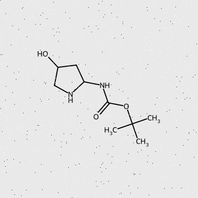 CC(C)(C)OC(=O)NC1CC(O)CN1